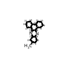 Cc1ccc2nc3c4ccccc4c4ccccc4c3nc2c1